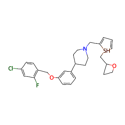 Fc1cc(Cl)ccc1COc1cccc(C2CCN(CC3=CC=C[SH]3CC3CCO3)CC2)c1